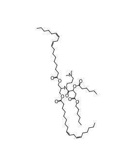 CCCCC/C=C\C/C=C\CCCCCCCC(=O)OCC(COC(=O)CCCCCCC/C=C\C/C=C\CCCCC)N(CCCN(C)C)C(=O)C(CC(=O)OCCCCCC)OC(=O)CCCCC